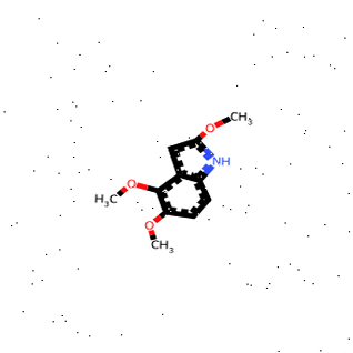 COc1cc2c(OC)c(OC)ccc2[nH]1